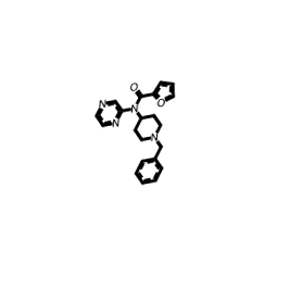 O=C(c1ccco1)N(c1cnccn1)C1CCN(Cc2ccccc2)CC1